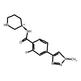 Cn1cc(-c2ccc(C(=O)N[C@@H]3CCCNC3)c(F)c2)nn1